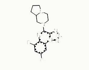 Fc1cc(C(F)(F)F)cc2c1nc(N1CCN3CCCC3C1)c1nnnn12